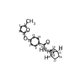 Cc1ccc(Oc2ccc(C(=O)N[C@@H]3C[C@H]4CC[C@@H]3N4)cc2)o1